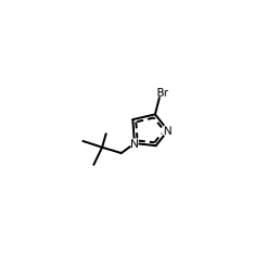 CC(C)(C)Cn1cnc(Br)c1